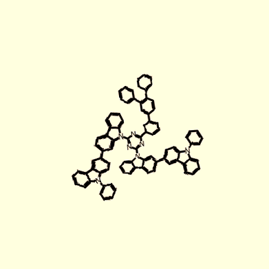 C1=CCCC(c2ccc(C3=CC=CC(c4nc(-n5c6ccccc6c6ccc(-c7ccc8c(c7)c7ccccc7n8-c7ccccc7)cc65)nc(-n5c6ccccc6c6ccc(-c7ccc8c(c7)c7ccccc7n8-c7ccccc7)cc65)n4)C3)cc2-c2ccccc2)=C1